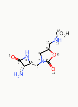 N[C@@H]1C(=O)N[C@@H]1CN1CC(CNC(=O)O)OC1=O